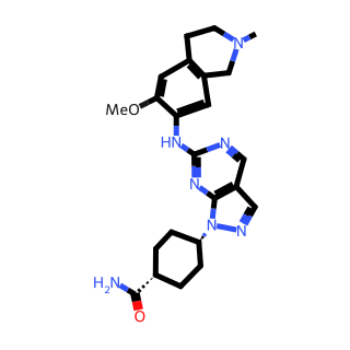 COc1cc2c(cc1Nc1ncc3cnn([C@H]4CC[C@@H](C(N)=O)CC4)c3n1)CN(C)CC2